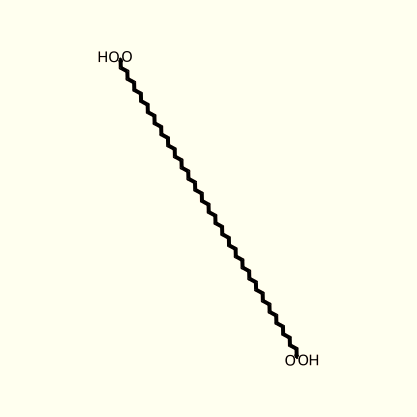 O=C(O)CCCCCCCCCCCCCCCCCCCCCCCCCCCCCCCCCCCCCCCCCCCCCCCCCCCCC(=O)O